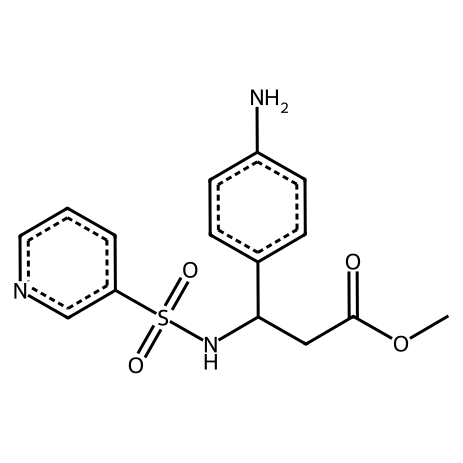 COC(=O)CC(NS(=O)(=O)c1cccnc1)c1ccc(N)cc1